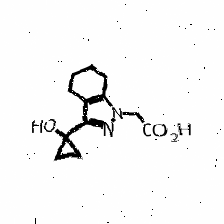 O=C(O)Cn1nc(C2(O)CC2)c2c1CCCC2